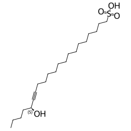 CCCC[C@H](O)C#CCCCCCCCCCCCCCCS(=O)(=O)O